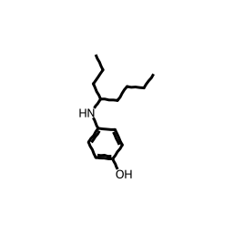 CCCCC(CCC)Nc1ccc(O)cc1